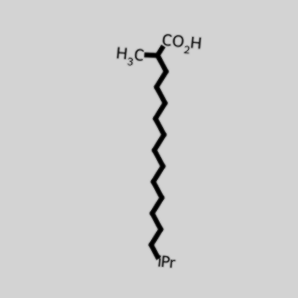 CC(C)CCCCCCCCCCCCC(C)C(=O)O